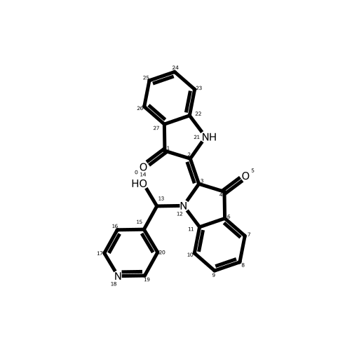 O=C1/C(=C2/C(=O)c3ccccc3N2C(O)c2ccncc2)Nc2ccccc21